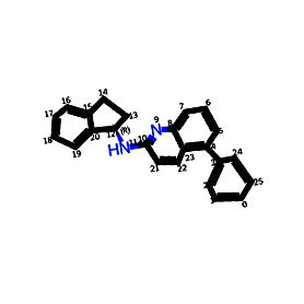 c1ccc(-c2cccc3nc(N[C@@H]4CCc5ccccc54)ccc23)cc1